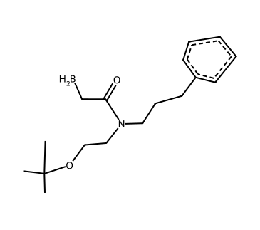 BCC(=O)N(CCCc1ccccc1)CCOC(C)(C)C